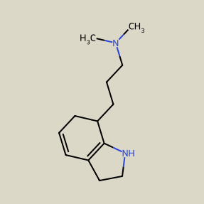 CN(C)CCCC1CC=CC2=C1NCC2